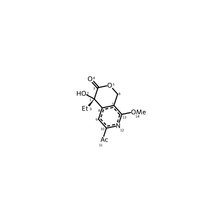 CC[C@@]1(O)C(=O)OCc2c1cc(C(C)=O)nc2OC